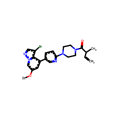 C=CC(C)C(=O)N1CCN(c2ccc(-c3cc(OCC)cn4ncc(Br)c34)cn2)CC1